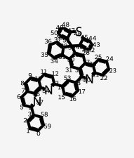 c1ccc(-c2ccc3ccc4ccc(-c5cccc(-c6nc7ccccc7c7cc8c(cc67)-c6ccccc6C86c7ccccc7Sc7ccccc76)c5)nc4c3n2)cc1